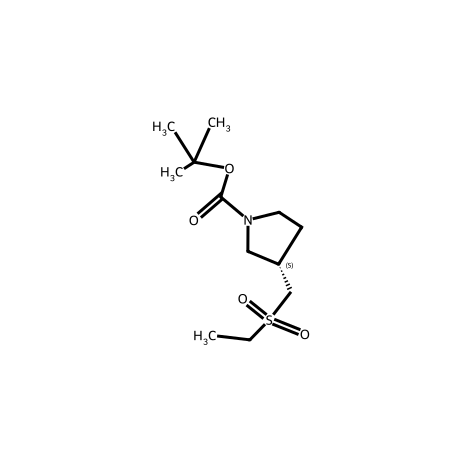 CCS(=O)(=O)C[C@H]1CCN(C(=O)OC(C)(C)C)C1